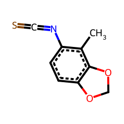 Cc1c(N=C=S)ccc2c1OCO2